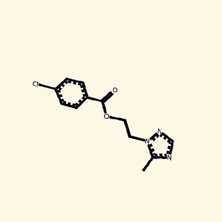 Cc1ncnn1CCOC(=O)c1ccc(Cl)cc1